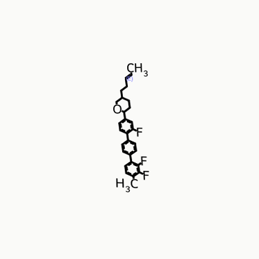 C/C=C/CCC1CCC(c2ccc(-c3ccc(-c4ccc(C)c(F)c4F)cc3)c(F)c2)OC1